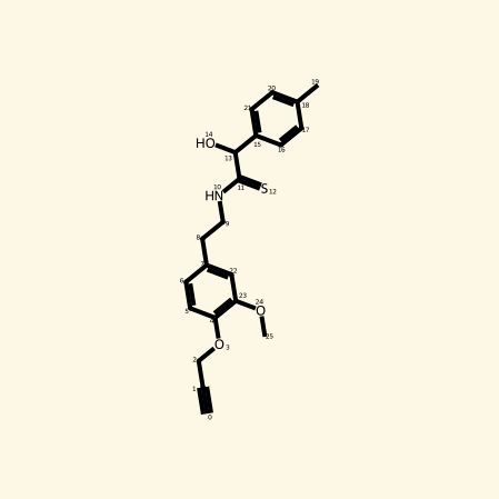 C#CCOc1ccc(CCNC(=S)C(O)c2ccc(C)cc2)cc1OC